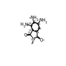 CN1C(=O)c2cc(N)c(N)c(N)c2C1=O